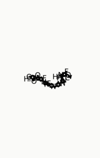 CC1(Oc2cc3c(-c4cc(N5CCC(CN6CCC(F)(CN7CCN(c8cc9c(cc8F)C(=O)N(C8CCC(=O)NC8=O)C9)CC7)CC6)CC5)ncn4)[nH]nc3cc2F)CC1